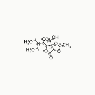 CCN(CC)C(=O)C1OC(=O)CC1(OC(C)=O)C(=O)O